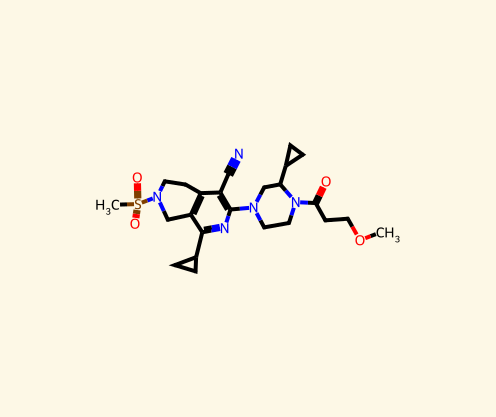 COCCC(=O)N1CCN(c2nc(C3CC3)c3c(c2C#N)CCN(S(C)(=O)=O)C3)CC1C1CC1